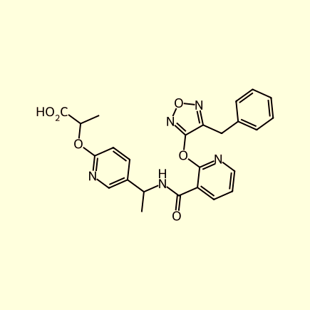 CC(Oc1ccc(C(C)NC(=O)c2cccnc2Oc2nonc2Cc2ccccc2)cn1)C(=O)O